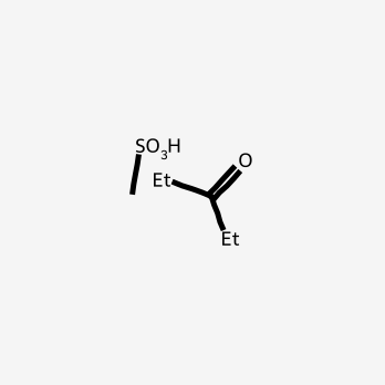 CCC(=O)CC.CS(=O)(=O)O